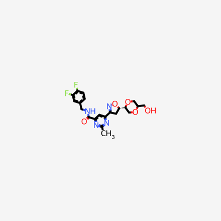 Cc1nc(C(=O)NCc2ccc(F)c(F)c2)cc(C2=NO[C@H](C3COC(CO)CO3)C2)n1